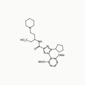 COc1cccc(OC)c1-c1cc(C(=O)NC(CCN2CCCCC2)CC(=O)O)nn1C1CCCC1